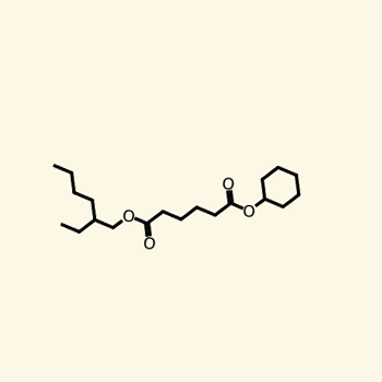 CCCCC(CC)COC(=O)CCCCC(=O)OC1CCCCC1